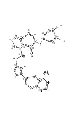 Nc1ncnc2ccc(-c3ccc(CNc4nccc5ncn(Cc6ccc(F)c(F)c6)c(=O)c45)s3)cc12